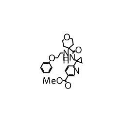 COC(=O)c1ccc(C2(NC(=O)C3(NCCOc4ccccc4)CCOCC3)CC2)nc1